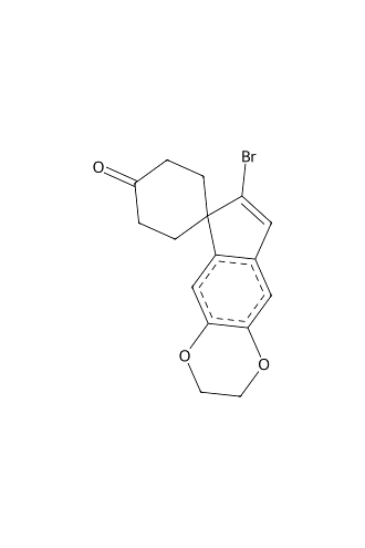 O=C1CCC2(CC1)C(Br)=Cc1cc3c(cc12)OCCO3